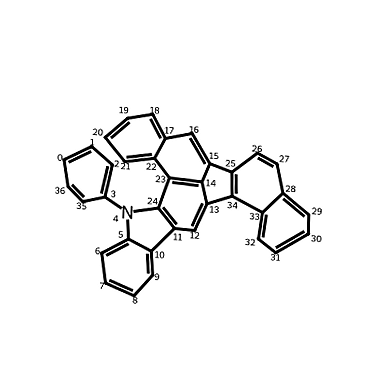 c1ccc(-n2c3ccccc3c3cc4c5c(cc6ccccc6c5c32)-c2ccc3ccccc3c2-4)cc1